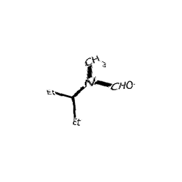 CCC(CC)N(C)[C]=O